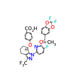 C[C@H](Oc1nc(-n2nc(C(F)(F)F)c3c2[C@@H](Oc2ccc(C(=O)O)cc2)CCC3)ccc1F)c1ccc2c(c1)OC(F)(F)O2